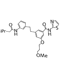 COCCCOc1cc(CCc2cccc(NC(=O)CC(C)C)c2)cc(C(=O)Nc2nccs2)c1